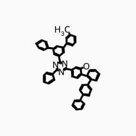 Cc1cccc(-c2cc(-c3ccccc3)cc(-c3nc(-c4ccccc4)nc(-c4ccc5c(c4)oc4cccc(-c6ccc(-c7ccccc7)cc6)c45)n3)c2)c1